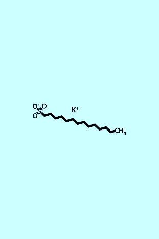 CCCCCCCCCCCCCCS(=O)(=O)[O-].[K+]